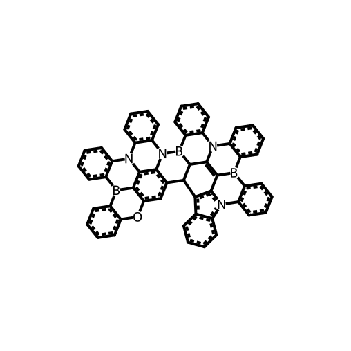 c1ccc2c(c1)Oc1cc3c4c5c1B2c1ccccc1N5c1ccccc1N4B1c2ccccc2N2C4=C5B(c6ccccc62)c2ccccc2-n2c5c(c5ccccc52)C3C14